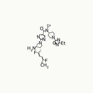 C=C/C(F)=C\C=C(\F)C[C@H]1CN(c2ncc(C(=O)N(C3CC3)C3CCN(c4nc(CC)no4)CC3)cn2)C[C@@H]1N